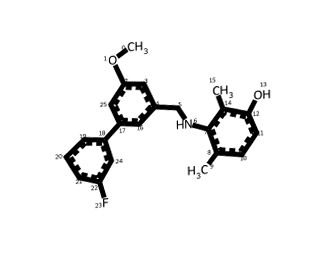 COc1cc(CNc2c(C)ccc(O)c2C)cc(-c2cccc(F)c2)c1